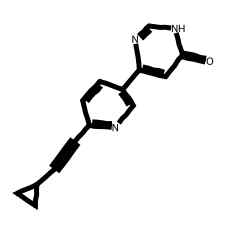 O=c1cc(-c2ccc(C#CC3CC3)nc2)nc[nH]1